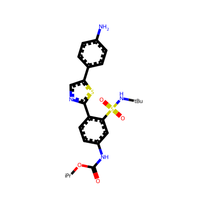 CC(C)OC(=O)Nc1ccc(-c2ncc(-c3ccc(N)cc3)s2)c(S(=O)(=O)NC(C)(C)C)c1